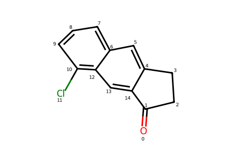 O=C1CCc2cc3cccc(Cl)c3cc21